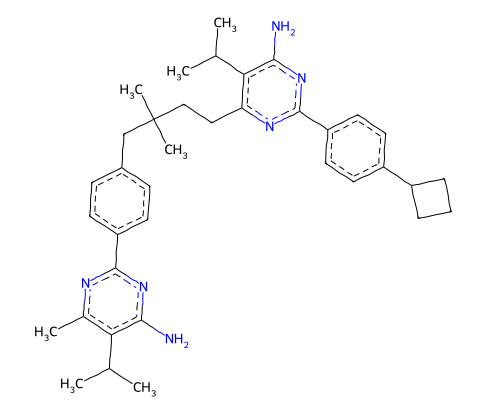 Cc1nc(-c2ccc(CC(C)(C)CCc3nc(-c4ccc(C5CCC5)cc4)nc(N)c3C(C)C)cc2)nc(N)c1C(C)C